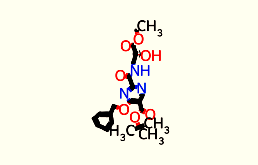 CCOC(=O)[C@H](O)CNC(=O)c1ncc(C(=O)OC(C)(C)C)c(OCc2ccccc2)n1